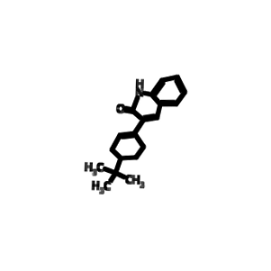 CC(C)(C)C1CC=C(c2cc3ccccc3[nH]c2=O)CC1